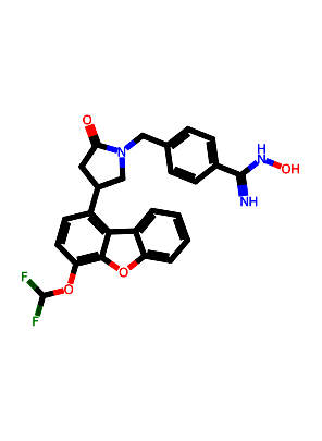 N=C(NO)c1ccc(CN2CC(c3ccc(OC(F)F)c4oc5ccccc5c34)CC2=O)cc1